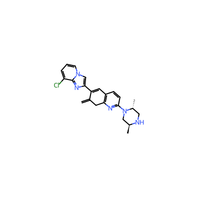 C=C1Cc2nc(N3C[C@H](C)NC[C@H]3C)ccc2C=C1c1cn2cccc(Cl)c2n1